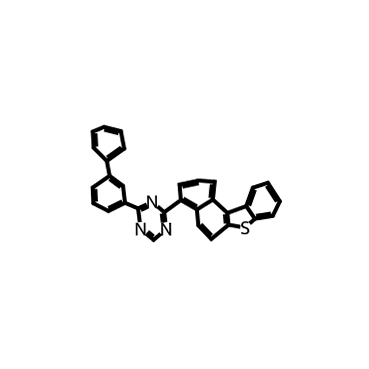 c1ccc(-c2cccc(-c3ncnc(-c4cccc5c4ccc4sc6ccccc6c45)n3)c2)cc1